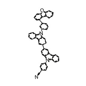 N#Cc1ccc(-n2c3ccccc3c3cc(-c4ccc5c(c4)c4ccccc4n5-c4cccc(-c5cccc6oc7ccccc7c56)c4)ccc32)cc1